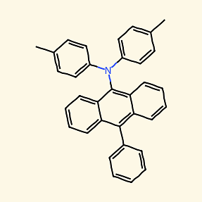 Cc1ccc(N(c2ccc(C)cc2)c2c3ccccc3c(-c3ccccc3)c3ccccc23)cc1